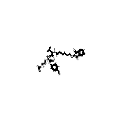 CC(C)[C@H](NC(=O)CCCCCON1C(=O)c2ccccc2C1=O)C(=O)N[C@@H](CCCNC(N)=O)C(=O)Nc1ccc(CO)cc1